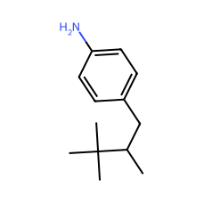 CC(Cc1ccc(N)cc1)C(C)(C)C